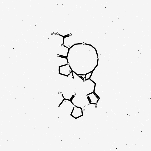 COC(=O)N[C@H]1CCCCOCC2NC(=NC2Cc2c[nH]c([C@@H]3CCCN3C(=O)[C@@H](C)C(C)C)n2)[C@@H]2CCCN2C1=O